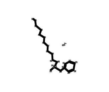 CCCCCCCCCCCC[S+](C)Cc1ccccc1.[I-]